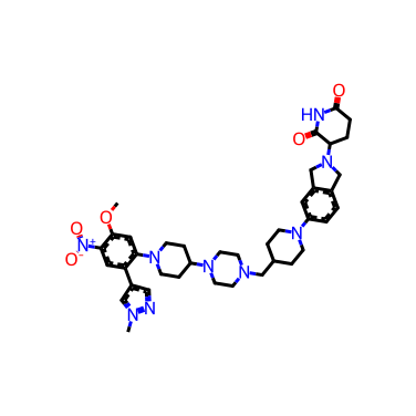 COc1cc(N2CCC(N3CCN(CC4CCN(c5ccc6c(c5)CN(C5CCC(=O)NC5=O)C6)CC4)CC3)CC2)c(-c2cnn(C)c2)cc1[N+](=O)[O-]